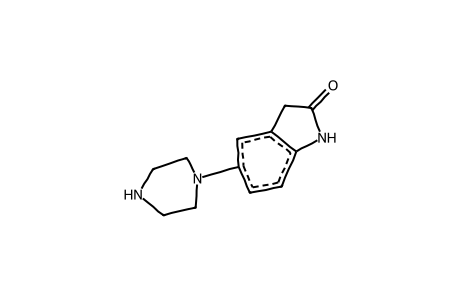 O=C1Cc2cc(N3CCNCC3)ccc2N1